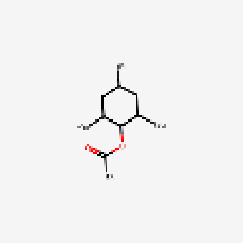 CCC(C)C(=O)OC1C(C(C)(C)C)CC(C(C)(C)C)CC1C(C)(C)C